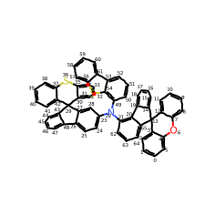 c1ccc2c(c1)Oc1ccccc1C21c2ccccc2-c2c(N(c3ccc4c(c3)C3(c5ccccc5Sc5ccccc53)c3ccccc3-4)c3cccc4c3sc3ccccc34)cccc21